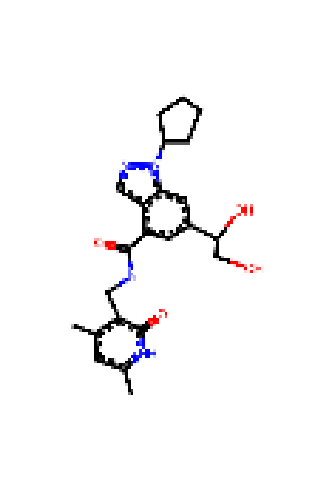 Cc1cc(C)c(CNC(=O)c2cc(C(O)CO)cc3c2cnn3C2CCCC2)c(=O)[nH]1